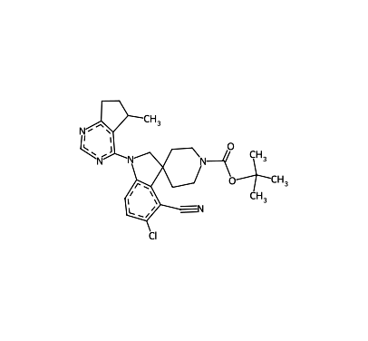 CC1CCc2ncnc(N3CC4(CCN(C(=O)OC(C)(C)C)CC4)c4c3ccc(Cl)c4C#N)c21